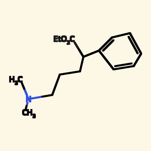 CCOC(=O)C(CCCN(C)C)c1ccccc1